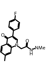 CNNC(=O)Cn1cc(-c2ccc(F)cc2)c(=O)c2ccc(C)cc21